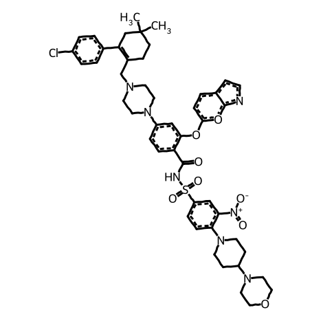 CC1(C)CCC(CN2CCN(c3ccc(C(=O)NS(=O)(=O)c4ccc(N5CCC(N6CCOCC6)CC5)c([N+](=O)[O-])c4)c(Oc4ccc5ccnc-5o4)c3)CC2)=C(c2ccc(Cl)cc2)C1